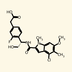 COc1cc2c(cc(C(=O)N[C@H](CO)c3ccc(CC(=O)O)cc3F)n2C)c(Cl)c1C